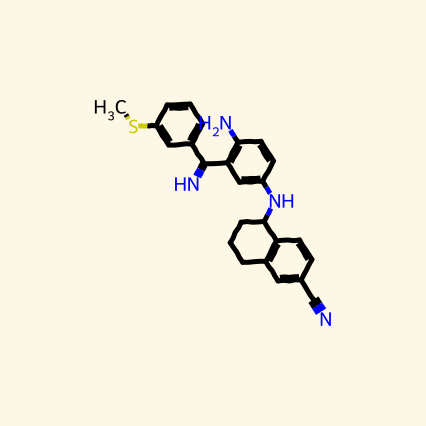 CSc1cccc(C(=N)c2cc(NC3CCCc4cc(C#N)ccc43)ccc2N)c1